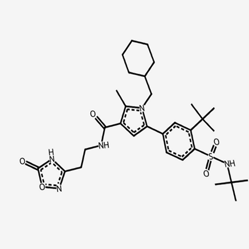 Cc1c(C(=O)NCCc2noc(=O)[nH]2)cc(-c2ccc(S(=O)(=O)NC(C)(C)C)c(C(C)(C)C)c2)n1CC1CCCCC1